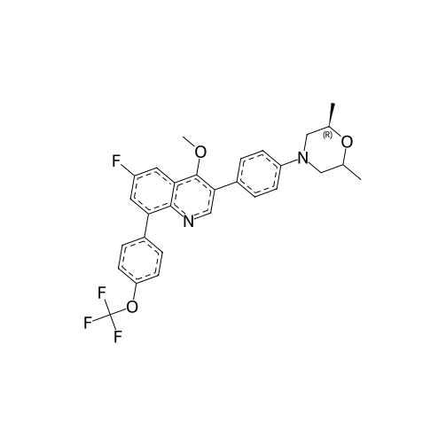 COc1c(-c2ccc(N3CC(C)O[C@H](C)C3)cc2)cnc2c(-c3ccc(OC(F)(F)F)cc3)cc(F)cc12